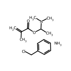 C=C(C)C(=O)OC(C)N(C)C.ClCc1ccccc1.N